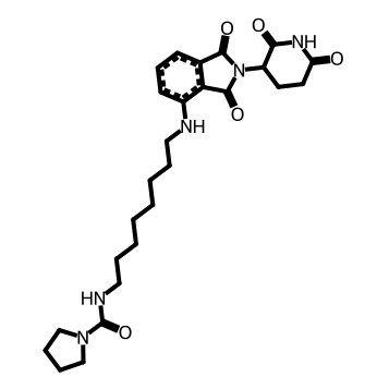 O=C1CCC(N2C(=O)c3cccc(NCCCCCCCCNC(=O)N4CCCC4)c3C2=O)C(=O)N1